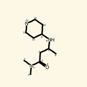 CC(CC(=O)N(C)C)NC1CC[N]CC1